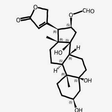 C[C@]12CC[C@H](O)C[C@@]1(O)CC[C@@H]1[C@@H]2CC[C@]2(C)[C@@H](C3=CC(=O)OC3)[C@@H](OC=O)C[C@]12O